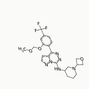 COCOc1cc(C(F)(F)F)ccc1-c1nnc(NC2CCCN(C3COC3)C2)n2nccc12